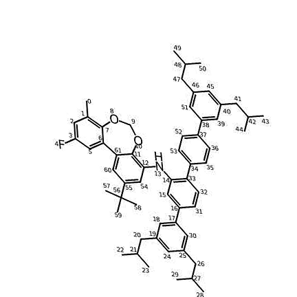 Cc1cc(F)cc2c1OCOc1c(Nc3cc(-c4cc(CC(C)C)cc(CC(C)C)c4)ccc3-c3ccc(-c4cc(CC(C)C)cc(CC(C)C)c4)cc3)cc(C(C)(C)C)cc1-2